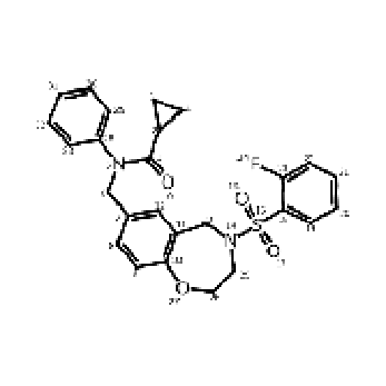 O=C(C1CC1)N(Cc1ccc2c(c1)CN(S(=O)(=O)c1ccccc1F)CCO2)c1ccccc1